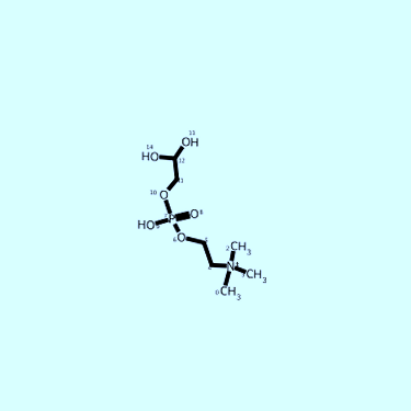 C[N+](C)(C)CCOP(=O)(O)OCC(O)O